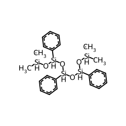 C[SiH](C)O[SiH](O[SiH](O[SiH](O[SiH](C)C)c1ccccc1)c1ccccc1)c1ccccc1